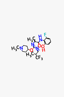 C=C(/N=C(\N=C/C(C)C(F)(F)F)OC1CCN(C)CC1)C(=O)Nc1c(O)cccc1F